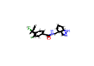 CC(C)(F)c1ccc(C(=O)NCc2cccc3[nH]ncc23)cc1F